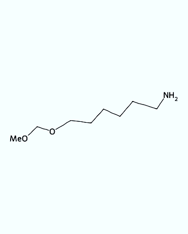 COCOCCCCCCN